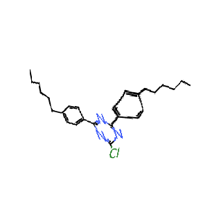 CCCCCCc1ccc(-c2nc(Cl)nc(-c3ccc(CCCCCC)cc3)n2)cc1